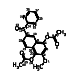 COc1cc(OC(C)=O)c2cc([S+]([O-])c3ncccn3)ccc2c1OC(C)=O